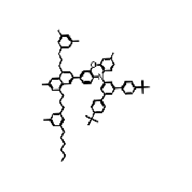 CCCCCCc1cc(C)cc(CCCc2cc(C)cc3c(CCCc4cc(C)cc(C)c4)cc(-c4ccc5c(c4)Oc4cc(C)ccc4N5c4cc(-c5ccc(C(C)(C)C)cc5)cc(-c5ccc(C(C)(C)C)cc5)c4)cc23)c1